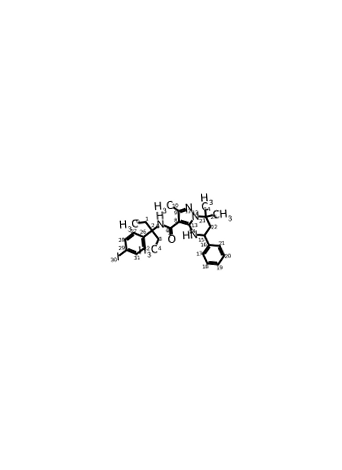 CCC(CC)(NC(=O)c1c(C)nn2c1NC(c1ccccc1)CC2(C)C)c1ccc(I)cc1